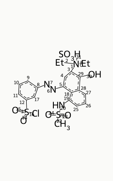 CC[N+](CC)(c1cc(N=Nc2cccc(S(=O)(=O)Cl)c2)c2c(NS(C)(=O)=O)cccc2c1O)S(=O)(=O)O